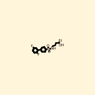 CCC(O)CCCNS(=O)(=O)c1ccc(-c2cc(F)ccc2F)cc1